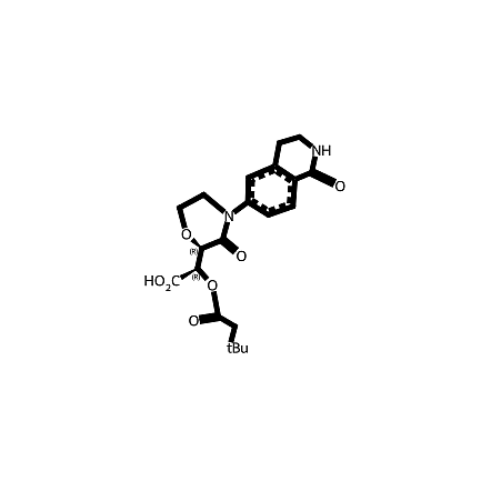 CC(C)(C)CC(=O)O[C@@H](C(=O)O)[C@H]1OCCN(c2ccc3c(c2)CCNC3=O)C1=O